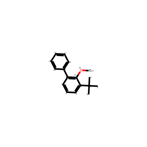 CC(C)(C)c1cccc(-c2ccccc2)c1[O][Ti]